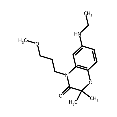 CCNc1ccc2c(c1)N(CCCOC)C(=O)C(C)(C)O2